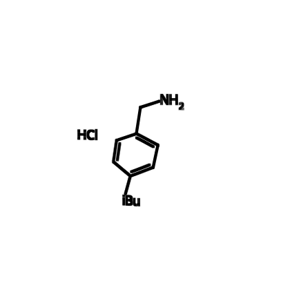 CCC(C)c1ccc(CN)cc1.Cl